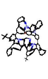 CC(C)(C)c1cc(-c2ccc3c(c2)c2ccccc2n3-c2ccccc2)c2c(c1)c1c3ccccc3cc3c4c5c6cc(C(C)(C)C)cc7c8c9ccccc9cc(-c9ccc%10c(c9)c9ccccc9n%10-c9ccccc9)c8n(c5ncc4n2c31)c67